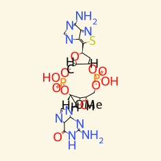 CO[C@H]1[C@H]2OP(=O)(O)OC[C@H]3O[C@@H](c4snc5c(N)ncnc45)C[C@@H]3OP(=O)(O)OC[C@H]1O[C@H]2N1C=NC2C(=O)NC(N)=NC21